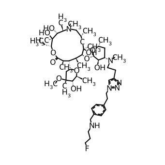 CC[C@H]1OC(=O)[C@H](C)[C@@H](C2C[C@@](C)(OC)[C@@H](O)[C@H](C)O2)[C@H](C)[C@@H](O[C@@H]2O[C@H](C)C[C@H](N(C)CCc3cn(CCc4ccc(CNCCCF)cc4)nn3)[C@H]2O)[C@](C)(O)C[C@@H](C)CN(C)[C@H](C)[C@@H](O)[C@]1(C)O